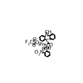 CC(C)N(C(=O)[c+]1c2ccccc2n(C)c2ccccc21)S(=O)(=O)c1ccccc1[N+](=O)[O-].O=S(=O)([O-])C(F)(F)F